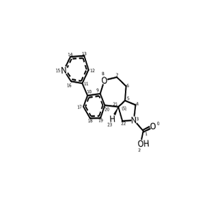 O=C(O)N1CC2CCOc3c(-c4cccnc4)cccc3[C@H]2C1